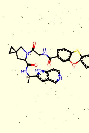 C[C@@H](NC(=O)C1CC2(CC2)CN1C(=O)CNC(=O)c1ccc2c(c1)Oc1ccccc1S2)c1cc2cnccc2[nH]1